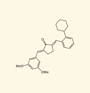 COc1cc(/C=C2\CC/C(=C\c3ccccc3C3CCCCC3)C2=O)cc(OC)c1